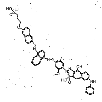 COc1cc(N=Nc2ccc(N=Nc3ccc4cc(OCCCS(=O)(=O)O)ccc4c3)c3ccccc23)c(C)cc1N=Nc1c(S(=O)(=O)O)cc2cc(Nc3ccccc3)ccc2c1O